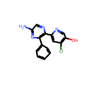 Nc1cnc(-c2cc(Cl)c(O)cn2)c(-c2ccccc2)n1